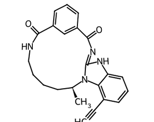 C#Cc1cccc2c1N1/C(=N/C(=O)c3cccc(c3)C(=O)NCCCC[C@@H]1C)N2